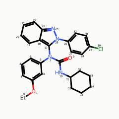 CCOc1cccc(N(C(=O)NC2CCCCC2)c2c3ccccc3nn2-c2ccc(Cl)cc2)c1